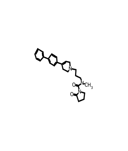 CN(CCCN1CC=C(c2ccc(-c3ccccc3)cc2)CC1)C(=O)N1CCCC1=O